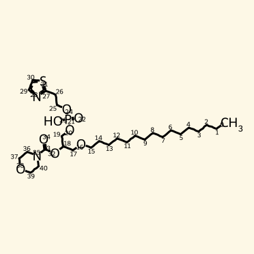 CCCCCCCCCCCCCCCCOCC(COP(=O)(O)OCCc1nccs1)OC(=O)N1CCOCC1